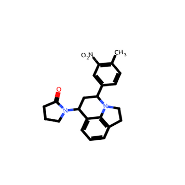 Cc1ccc(C2CC(N3CCCC3=O)c3cccc4c3N2CC4)cc1[N+](=O)[O-]